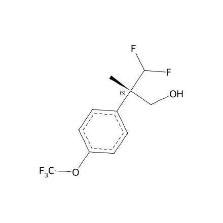 C[C@@](CO)(c1ccc(OC(F)(F)F)cc1)C(F)F